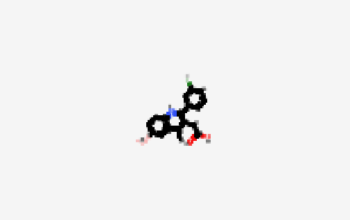 Bc1ccc2nc(-c3cccc(Cl)c3)c(CC(=O)O)c(C)c2c1